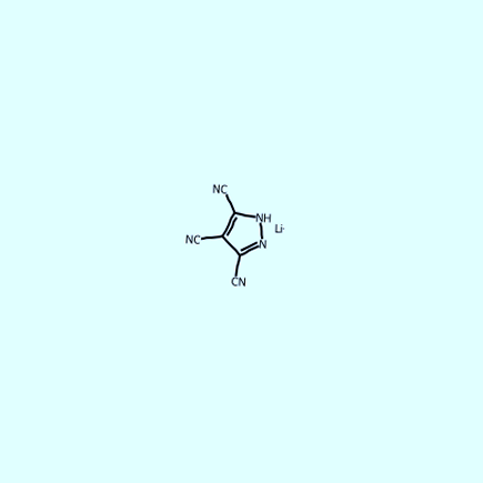 N#Cc1n[nH]c(C#N)c1C#N.[Li]